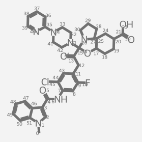 Cn1cc(C(=O)Nc2cc(F)c(CC(=O)C(OC3CCC(C(=O)O)CC3)(N3CCCC3)N3CCN(c4ccccn4)CC3)cc2Cl)c2ccccc21